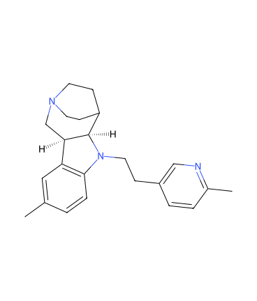 Cc1ccc2c(c1)[C@H]1CN3CCC(CC3)[C@H]1N2CCc1ccc(C)nc1